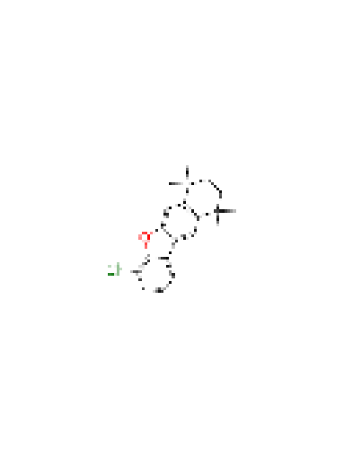 CC1(C)CCC(C)(C)c2cc3c(cc21)oc1c(Cl)cccc13